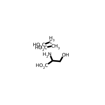 CC(=O)O.CC(=O)O.NC(CO)C(=O)O